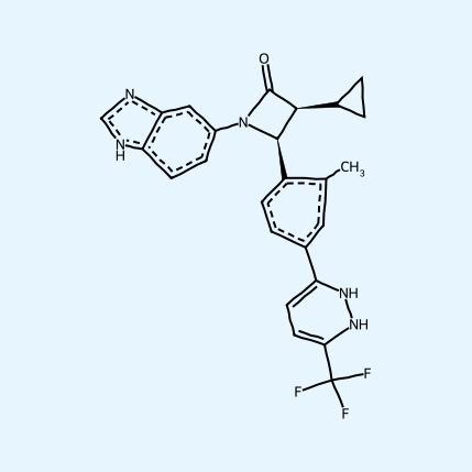 Cc1cc(C2=CC=C(C(F)(F)F)NN2)ccc1[C@@H]1[C@H](C2CC2)C(=O)N1c1ccc2[nH]cnc2c1